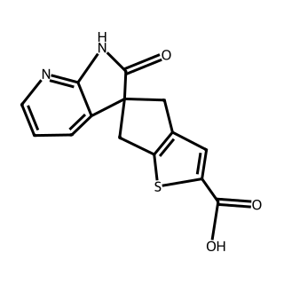 O=C(O)c1cc2c(s1)CC1(C2)C(=O)Nc2ncccc21